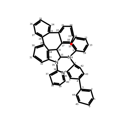 c1ccc(-c2ccc(N(c3ccccc3)C3C4c5ccccc5-c5ccccc5-c5cccc(c54)N3c3ccccn3)cc2)cc1